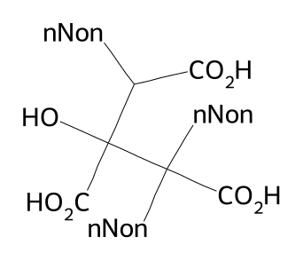 CCCCCCCCCC(C(=O)O)C(O)(C(=O)O)C(CCCCCCCCC)(CCCCCCCCC)C(=O)O